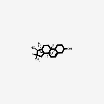 C[C@]12CC[C@H]3[C@@H](CC=C4CC(O)CC[C@@]43C)[C@@H]1C[C@](C)(F)[C@H]2O